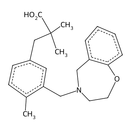 Cc1ccc(CC(C)(C)C(=O)O)cc1CN1CCOc2ccccc2C1